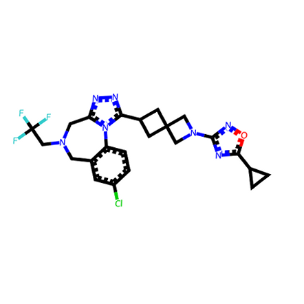 FC(F)(F)CN1Cc2cc(Cl)ccc2-n2c(nnc2C2CC3(C2)CN(c2noc(C4CC4)n2)C3)C1